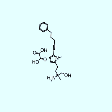 Cn1c(C#CCCCc2ccccc2)ccc1CC[C@@](C)(N)CO.O=C(O)C(=O)O